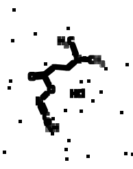 CN(C)CCC(=O)ON=C=N.Cl